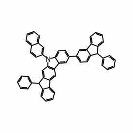 c1ccc(C2c3ccccc3-c3cc(-c4ccc5c(c4)c4cc6c(cc4n5-c4ccc5ccccc5c4)C(c4ccccc4)c4ccccc4-6)ccc32)cc1